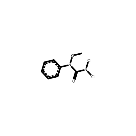 CON(C(=O)N(Cl)Cl)c1ccccc1